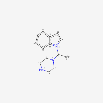 CCCC(N1CCNCC1)n1ccc2ccccc21